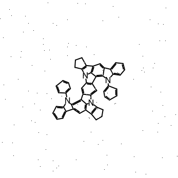 c1ccc(-n2c3ccccc3c3cc4c5c(n6c7cc8c9c%10c(cc%11c%12c(n(c8cc7c(c32)c46)c%119)CCC%12)c2ccccc2n%10-c2ccccc2)CCC5)cc1